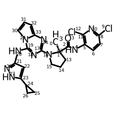 C[C@@]1(C(=O)Nc2ccc(Cl)nc2Cl)CCCN1c1nc(Nc2cc(C3CC3)[nH]n2)n2cccc2n1